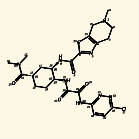 CN1CCc2nc(C(=O)N[C@@H]3C[C@@H](C(=O)N(C)C)CC[C@@H]3NC(=O)C(=O)Nc3ccc(Cl)nn3)sc2C1